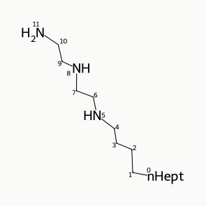 CCCCCCCCCCCNCCNCCN